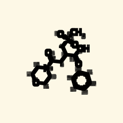 CS(=O)(=O)CC(CC(=O)N1CCOCC1)C(=O)O.c1ccccc1